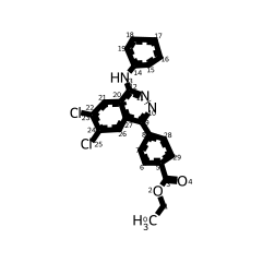 CCOC(=O)c1ccc(-c2nnc(Nc3ccccc3)c3cc(Cl)c(Cl)cc23)cc1